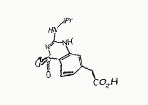 CC(C)NC1=NS(=O)(=O)c2ccc(CC(=O)O)cc2N1